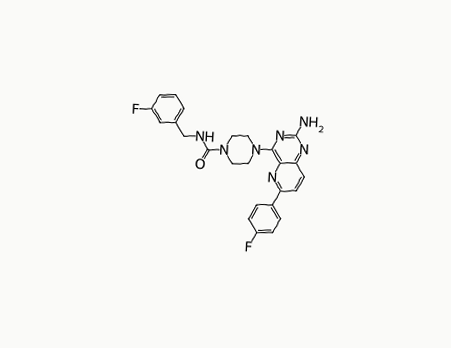 Nc1nc(N2CCN(C(=O)NCc3cccc(F)c3)CC2)c2nc(-c3ccc(F)cc3)ccc2n1